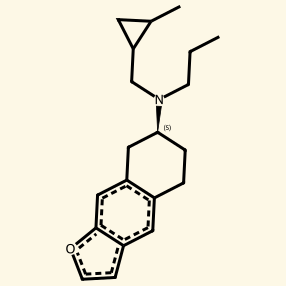 CCCN(CC1CC1C)[C@H]1CCc2cc3ccoc3cc2C1